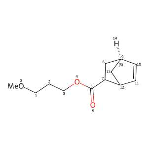 COCCCOC(=O)C1C[C@H]2C=CC1C2